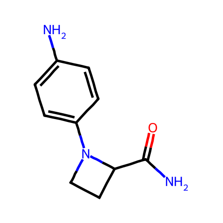 NC(=O)C1CCN1c1ccc(N)cc1